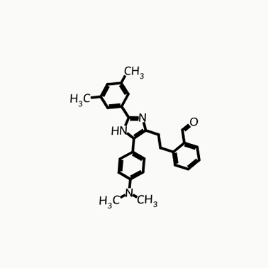 Cc1cc(C)cc(-c2nc(CCc3ccccc3C=O)c(-c3ccc(N(C)C)cc3)[nH]2)c1